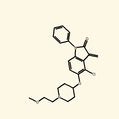 C=C1C(=O)N(c2ccccc2)c2ccc(OC3CCN(CCOC)CC3)c(Cl)c21